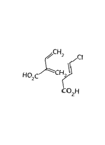 C=CC(=C)C(=O)O.O=C(O)CC=CCl